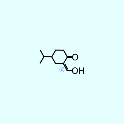 CC(C)C1CCC(=O)/C(=C\O)C1